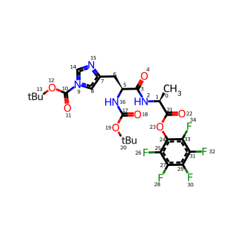 C[C@H](NC(=O)[C@H](Cc1cn(C(=O)OC(C)(C)C)cn1)NC(=O)OC(C)(C)C)C(=O)Oc1c(F)c(F)c(F)c(F)c1F